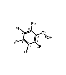 OOc1c(F)c(F)c(F)c(F)c1F